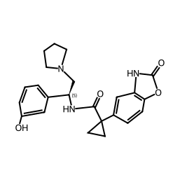 O=C(N[C@H](CN1CCCC1)c1cccc(O)c1)C1(c2ccc3oc(=O)[nH]c3c2)CC1